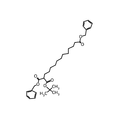 CC(C)(C)OC(=O)C(CCCCCCCCCCCC(=O)OCc1ccccc1)C(=O)OCc1ccccc1